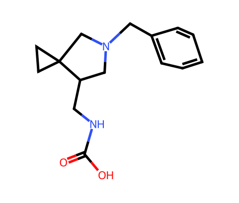 O=C(O)NCC1CN(Cc2ccccc2)CC12CC2